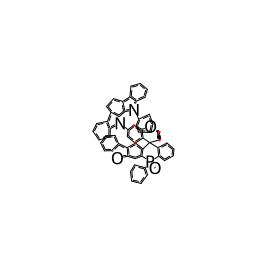 O=P1(c2ccccc2)c2ccccc2C2(c3ccccc3Oc3cc(-n4c5ccccc5c5ccc6c7ccccc7n(-c7ccccc7)c6c54)ccc32)c2cc3c(cc21)oc1ccccc13